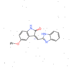 CC(C)Oc1ccc2c(c1)/C(=C/c1nc3ccccc3[nH]1)C(=O)N2